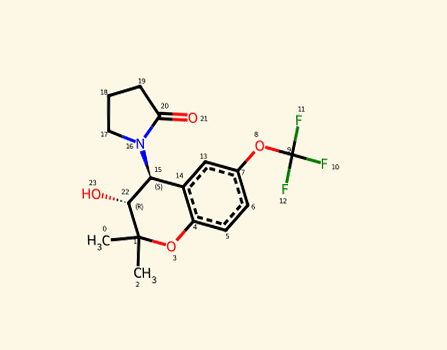 CC1(C)Oc2ccc(OC(F)(F)F)cc2[C@H](N2CCCC2=O)[C@H]1O